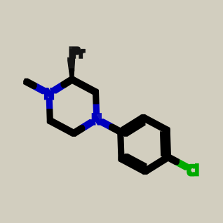 CC(C)[C@H]1CN(c2ccc(Cl)cc2)CCN1C